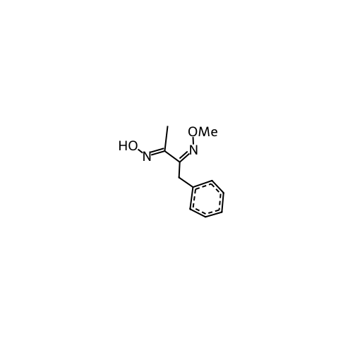 CON=C(Cc1ccccc1)C(C)=NO